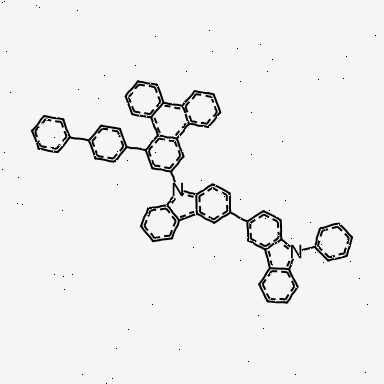 c1ccc(-c2ccc(-c3cc(-n4c5ccccc5c5cc(-c6ccc7c(c6)c6ccccc6n7-c6ccccc6)ccc54)cc4c5ccccc5c5ccccc5c34)cc2)cc1